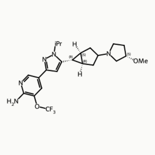 CO[C@H]1CCN(C2C[C@@H]3[C@H](C2)[C@H]3c2cc(-c3cnc(N)c(OC(F)(F)F)c3)nn2C(C)C)C1